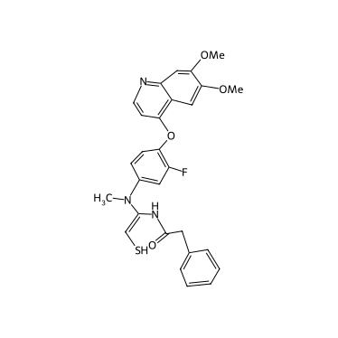 COc1cc2nccc(Oc3ccc(N(C)/C(=C/S)NC(=O)Cc4ccccc4)cc3F)c2cc1OC